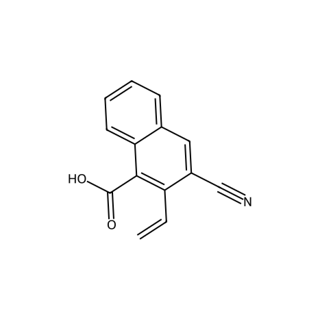 C=Cc1c(C#N)cc2ccccc2c1C(=O)O